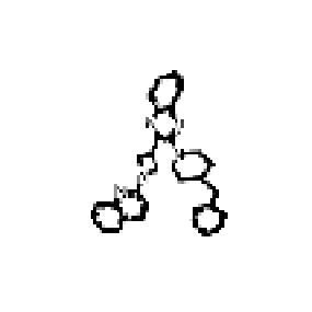 c1ccc(CC2CCN(c3nc4ccccc4nc3C3CN(c4ccc5ccccc5n4)C3)CC2)cc1